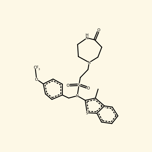 Cc1c(N(Cc2ccc(OC(F)(F)F)cc2)S(=O)(=O)CCN2CCNC(=O)CC2)sc2ccccc12